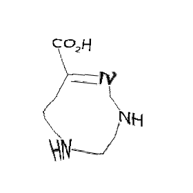 O=C(O)C1=NNCNC1